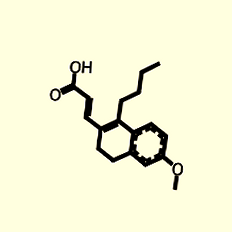 CCCCC1=C(C=CC(=O)O)CCc2cc(OC)ccc21